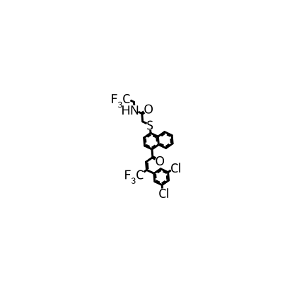 O=C(CSc1ccc(C(=O)/C=C(\c2cc(Cl)cc(Cl)c2)C(F)(F)F)c2ccccc12)NCC(F)(F)F